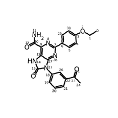 CCOc1ccc(-c2nc(C(N)=O)c3[nH]c(=O)n(-c4cccc(C(C)=O)c4)c3n2)cc1